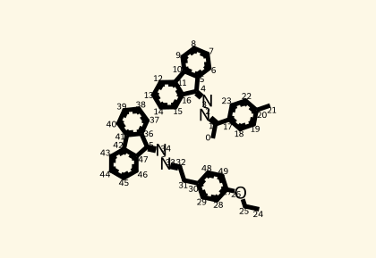 CC(=NN=C1c2ccccc2-c2ccccc21)c1ccc(C)cc1.CCOc1ccc(CC=NN=C2c3ccccc3-c3ccccc32)cc1